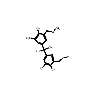 COCc1cc(C(C)(C)c2cc(C)c(O)c(COC)c2)cc(C)c1O